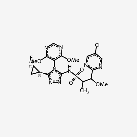 COc1ncnc(OC)c1-n1c(NS(=O)(=O)C(C)C(OC)c2ncc(Cl)cn2)nnc1[C@H]1C[C@@H]1F